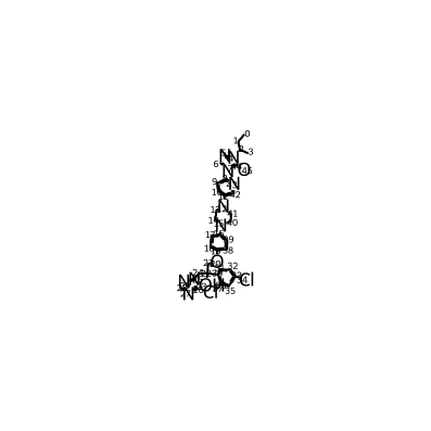 CCC(C)n1ncn(-c2ccc(N3CCN(c4ccc(OCC(O)(Cn5cncn5)c5ccc(Cl)cc5Cl)cc4)CC3)cn2)c1=O